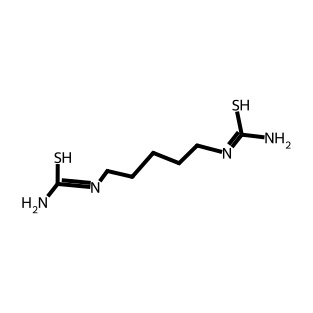 NC(S)=NCCCCCN=C(N)S